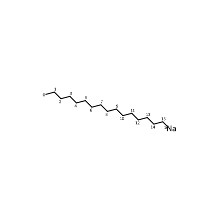 CCCCCCCCCCCCCCC[CH2][Na]